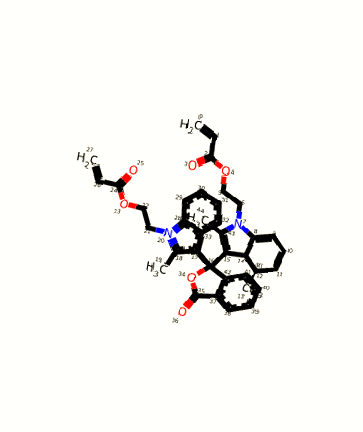 C=CC(=O)OCCN1C2=CC=C[C@@H](C)C2C(C2(c3c(C)n(CCOC(=O)C=C)c4ccccc34)OC(=O)c3ccccc32)=C1C